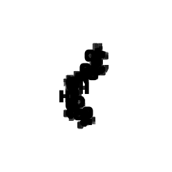 C=C(C)C(=O)OCC(CC)OC(=O)NCc1cccc(CNC(=O)OC(CC)COC(=O)C(=C)C)c1